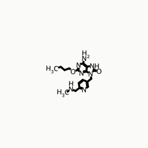 CCCCOc1nc(N)c2[nH]c(=O)n(Cc3ccc(CNC)nc3)c2n1